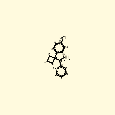 NC(c1ccccn1)C1(c2ccc(Cl)cc2)CCC1